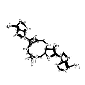 Nc1ncnc2c1ncn2C1OC2COP(=O)(O)COC3C(O)C(COC2C1O)OC3n1cnc2c(N)ncnc21